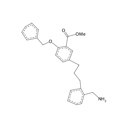 COC(=O)c1cc(CCCc2ccccc2CN)ccc1OCc1ccccc1